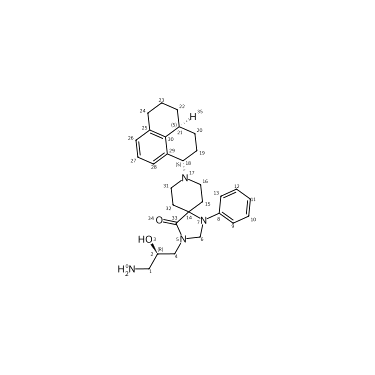 NC[C@@H](O)CN1CN(c2ccccc2)C2(CCN([C@H]3CC[C@@H]4CCCc5cccc3c54)CC2)C1=O